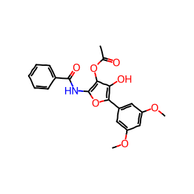 COc1cc(OC)cc(-c2oc(NC(=O)c3ccccc3)c(OC(C)=O)c2O)c1